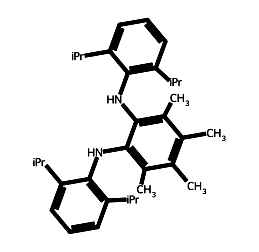 Cc1c(C)c(C)c(Nc2c(C(C)C)cccc2C(C)C)c(Nc2c(C(C)C)cccc2C(C)C)c1C